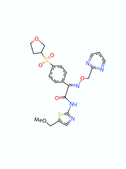 COCc1cnc(NC(=O)/C(=N/OCc2ncccn2)c2ccc(S(=O)(=O)[C@H]3CCOC3)cc2)s1